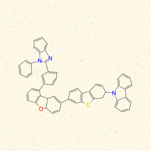 C1=CC2Oc3cccc(-c4cccc(-c5nc6ccccc6n5-c5ccccc5)c4)c3C2C=C1c1ccc2c3c(sc2c1)CC(n1c2ccccc2c2ccccc21)C=C3